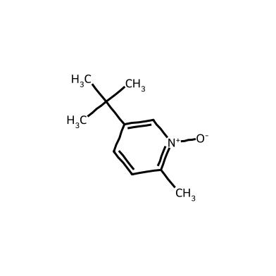 Cc1ccc(C(C)(C)C)c[n+]1[O-]